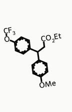 CCOC(=O)CC(c1ccc(OC)cc1)c1ccc(OC(F)(F)F)cc1